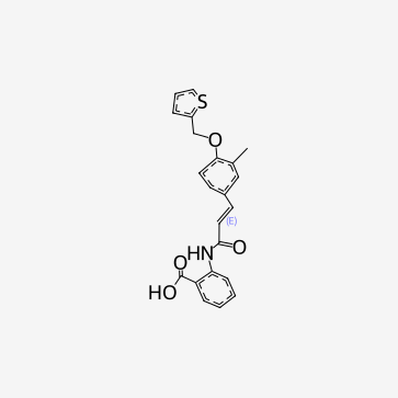 Cc1cc(/C=C/C(=O)Nc2ccccc2C(=O)O)ccc1OCc1cccs1